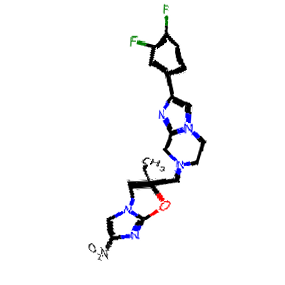 C[C@]1(CN2CCn3cc(-c4ccc(F)c(F)c4)nc3C2)Cn2cc([N+](=O)[O-])nc2O1